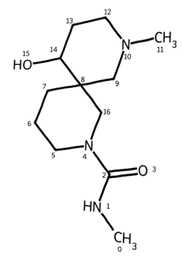 CNC(=O)N1CCCC2(CN(C)CCC2O)C1